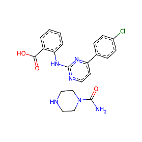 NC(=O)N1CCNCC1.O=C(O)c1ccccc1Nc1nccc(-c2ccc(Cl)cc2)n1